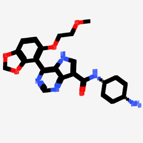 COCCOc1ccc2c(c1-c1ncnc3c(C(=O)N[C@H]4CC[C@@H](N)CC4)c[nH]c13)OCO2